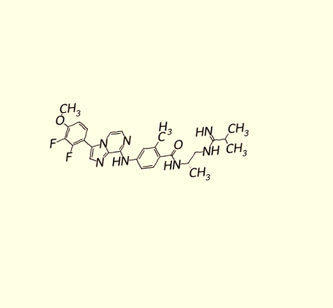 COc1ccc(-c2cnc3c(Nc4ccc(C(=O)N[C@@H](C)CNC(=N)C(C)C)c(C)c4)nccn23)c(F)c1F